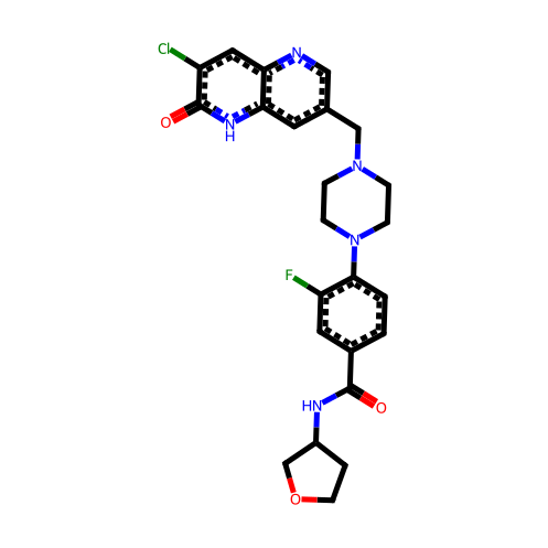 O=C(NC1CCOC1)c1ccc(N2CCN(Cc3cnc4cc(Cl)c(=O)[nH]c4c3)CC2)c(F)c1